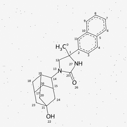 CC1(c2ccc3ccccc3c2)CN(C2C3CC4CC2CC(O)(C4)C3)C(=O)N1